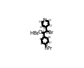 Br.CCCc1ccc(C(=O)C(Br)c2ccncc2)cc1